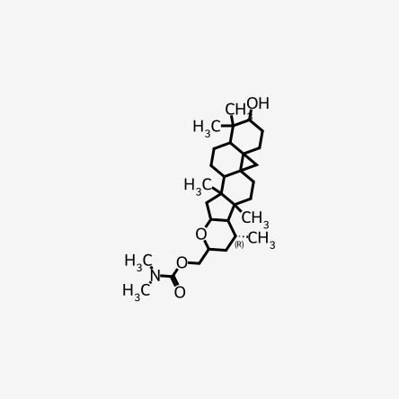 C[C@@H]1CC(COC(=O)N(C)C)OC2CC3(C)C4CCC5C(C)(C)C(O)CCC56CC46CCC3(C)C21